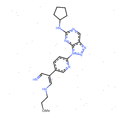 COCCN/C=C(\C=N)c1ccc(-n2nnc3cnc(NC4CCCC4)nc32)nc1